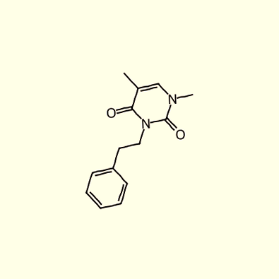 Cc1cn(C)c(=O)n(CCc2ccccc2)c1=O